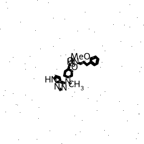 COc1ccccc1CCCNS(=O)(=O)CC1CCC(N(C)c2ncnc3[nH]ccc23)CC1